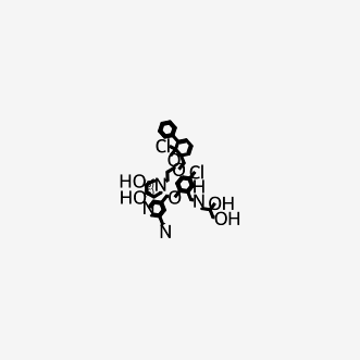 CC1(Cl)C(c2ccccc2)=CC=CC1(COc1cc(OCc2cncc(C#N)c2)c(CNCC(O)CO)cc1Cl)OCCCN1CC[C@H](O)[C@@H](O)C1